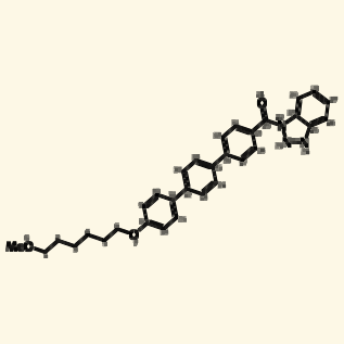 COCCCCCCOc1ccc(-c2ccc(-c3ccc(C(=O)n4nnc5ccccc54)cc3)cc2)cc1